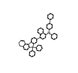 C1=Cc2c(ccc3c2-c2ccc(-c4ccc(N(c5ccccc5)c5ccc(-c6ccccc6)cc5)c5ccccc45)cc2C3(c2ccccc2)c2ccccc2)CC1